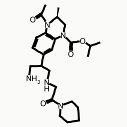 CC(=O)N1c2ccc(C(CN)CNCC(=O)N3CCCCC3)cc2N(C(=O)OC(C)C)C[C@@H]1C